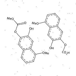 COC(=O)Oc1cc2cccc(OC)c2cc1O.COc1cccc2cc(OC(=O)O)c(O)cc12